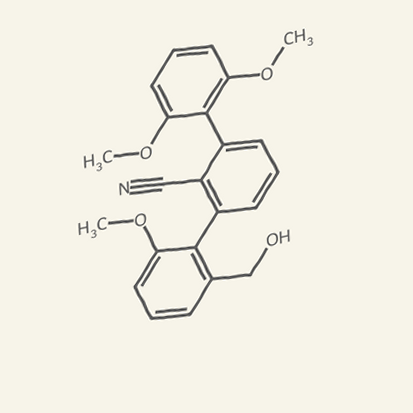 COc1cccc(CO)c1-c1cccc(-c2c(OC)cccc2OC)c1C#N